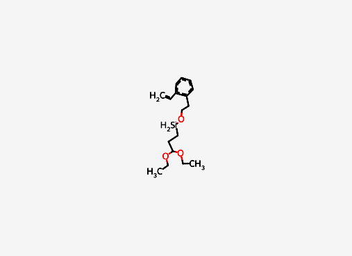 C=Cc1ccccc1CCO[SiH2]CCC(OCC)OCC